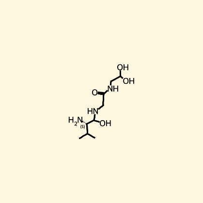 CC(C)[C@H](N)C(O)NCC(=O)NCC(O)O